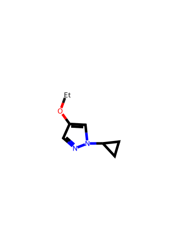 CCOc1cnn(C2CC2)c1